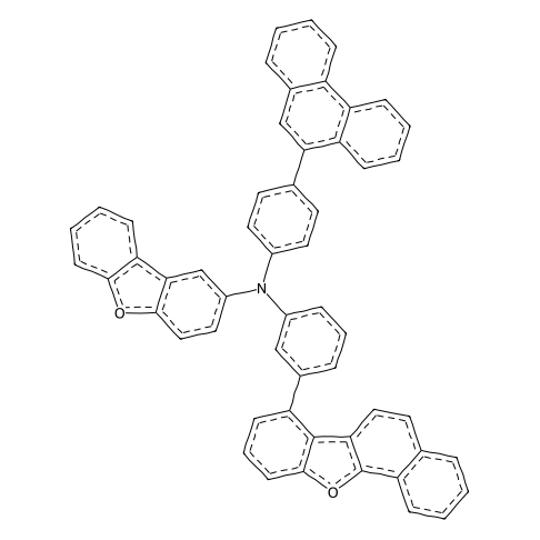 c1cc(-c2cccc3oc4c5ccccc5ccc4c23)cc(N(c2ccc(-c3cc4ccccc4c4ccccc34)cc2)c2ccc3oc4ccccc4c3c2)c1